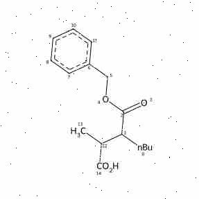 CCCCC(C(=O)OCc1ccccc1)C(C)C(=O)O